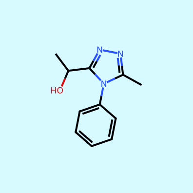 Cc1nnc(C(C)O)n1-c1ccccc1